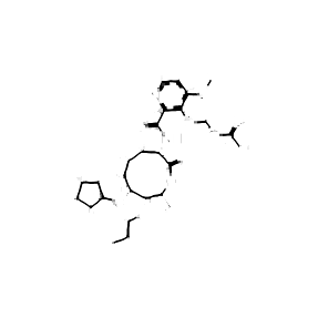 CCCO[C@H]1[C@H](C)OC(=O)[C@@H](NC(=O)c2nccc(OC)c2OCOC(C)=O)CCC[C@@H]1OC1CCCC1